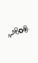 CN(CC#N)C(=O)Oc1ccc([N+](=O)[O-])cc1